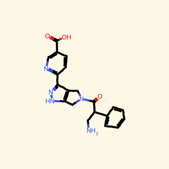 NCC(C(=O)N1Cc2[nH]nc(-c3ccc(C(=O)O)cn3)c2C1)c1ccccc1